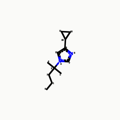 CCCC(C)(C)n1cnc(C2CC2)c1